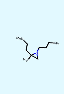 CNCCC1(C)CN1CCCC(C)C